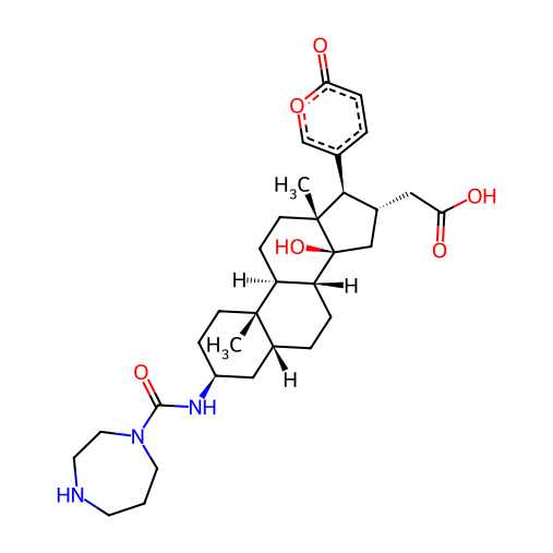 C[C@]12CC[C@H](NC(=O)N3CCCNCC3)C[C@H]1CC[C@@H]1[C@@H]2CC[C@]2(C)[C@@H](c3ccc(=O)oc3)[C@H](CC(=O)O)C[C@]12O